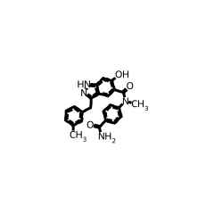 Cc1cccc(Cc2n[nH]c3cc(O)c(C(=O)N(C)c4ccc(C(N)=O)cc4)cc23)c1